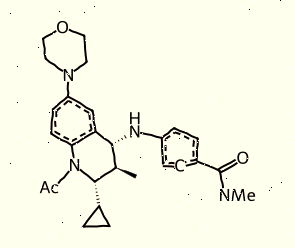 CNC(=O)c1ccc(N[C@H]2c3cc(N4CCOCC4)ccc3N(C(C)=O)[C@@H](C3CC3)[C@@H]2C)cc1